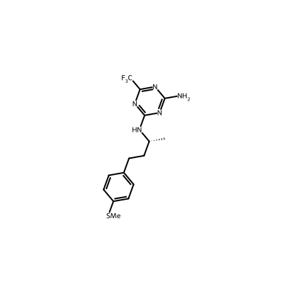 CSc1ccc(CC[C@@H](C)Nc2nc(N)nc(C(F)(F)F)n2)cc1